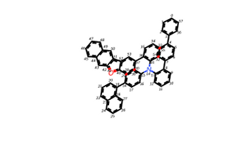 c1ccc(-c2ccc(-c3ccccc3N(c3ccc(-c4cccc5ccccc45)cc3)c3ccccc3-c3ccc4oc5cc6ccccc6cc5c4c3)cc2)cc1